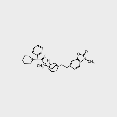 Cn1c(=O)oc2cc(CC[N+]34CCC(CC3)[C@@H](OC(=O)[C@](C)(c3ccccc3)N3CCCCC3)C4)ccc21